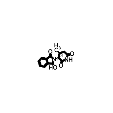 C[C@H]1CC(=O)NC(=O)[C@@H]1N1C(=O)c2ccccc2C1O